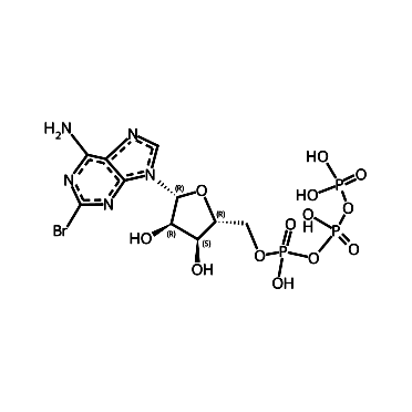 Nc1nc(Br)nc2c1ncn2[C@@H]1O[C@H](COP(=O)(O)OP(=O)(O)OP(=O)(O)O)[C@@H](O)[C@H]1O